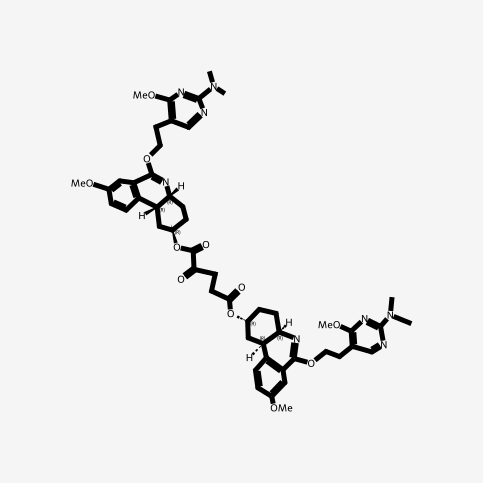 COc1ccc2c(c1)C(OCCc1cnc(N(C)C)nc1OC)=N[C@@H]1CC[C@@H](OC(=O)CCC(=O)C(=O)O[C@@H]3CC[C@H]4N=C(OCCc5cnc(N(C)C)nc5OC)c5cc(OC)ccc5[C@H]4C3)C[C@H]21